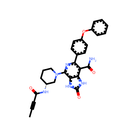 CC#CC(=O)N[C@@H]1CCCN(c2nc(-c3ccc(Oc4ccccc4)cc3)c(C(N)=O)c3[nH]c(=O)[nH]c23)C1